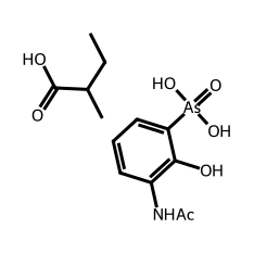 CC(=O)Nc1cccc([As](=O)(O)O)c1O.CCC(C)C(=O)O